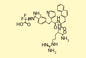 N=C(N)NCCCC(NC(=O)[C@H](Cc1ccc2ccccc2c1)NC(=O)[C@@H](Cc1ccc(C(=N)N)cc1)c1cccnc1)C(N)=O.O=C(O)C(F)(F)F